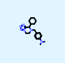 CN(C)c1ccc(CN2CCn3nnnc3C2C2CCCCC2)cc1